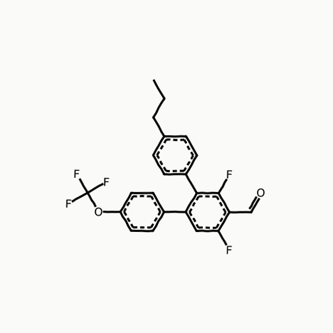 CCCc1ccc(-c2c(-c3ccc(OC(F)(F)F)cc3)cc(F)c(C=O)c2F)cc1